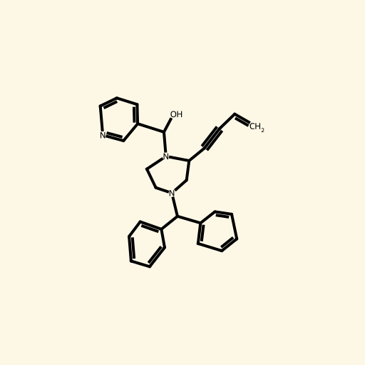 C=CC#CC1CN(C(c2ccccc2)c2ccccc2)CCN1C(O)c1cccnc1